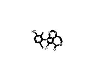 Cc1ccc(O)c(C)c1-n1c(N)c2c3c(ncnc31)C=CNC2=O